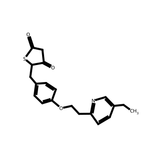 CCc1ccc(CCOc2ccc(CC3SC(=O)CC3=O)cc2)nc1